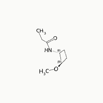 CCC(=O)N[C@@H]1CC[C@H]1OC